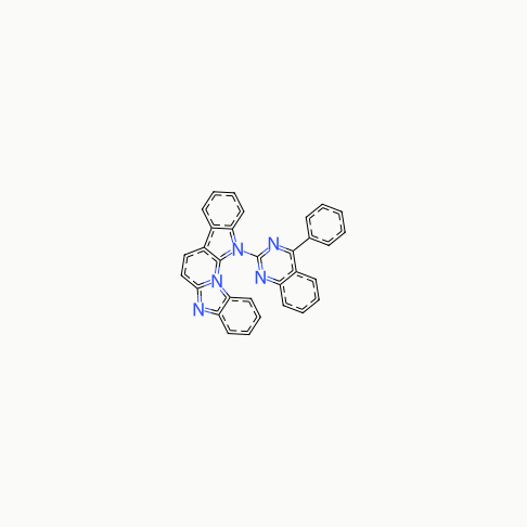 c1ccc(-c2nc(-n3c4ccccc4c4ccc5nc6ccccc6n5c43)nc3ccccc23)cc1